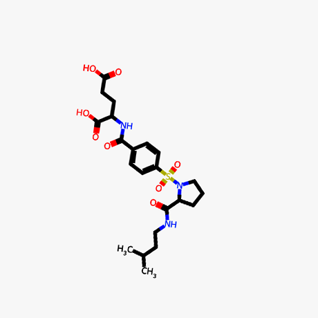 CC(C)CCNC(=O)C1CCCN1S(=O)(=O)c1ccc(C(=O)NC(CCC(=O)O)C(=O)O)cc1